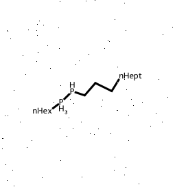 CCCCCCCCCCP[PH3]CCCCCC